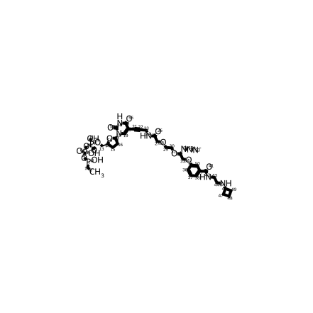 CCP(O)OP(=O)(O)OP(=O)(O)OC[C@@H]1CC[C@H](n2cc(C#CCNC(=O)COCCOC(COc3cccc(C(=O)NCCNC4CCC4)c3)N=[N+]=[N-])c(=O)[nH]c2=O)O1